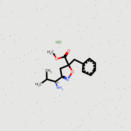 COC(=O)C1(Cc2ccccc2)CC([C@@H](N)C(C)C)=NO1.Cl